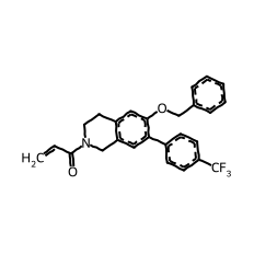 C=CC(=O)N1CCc2cc(OCc3ccccc3)c(-c3ccc(C(F)(F)F)cc3)cc2C1